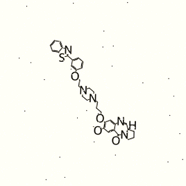 COc1cc2c(cc1OCCCN1CCN(CCOc3cccc(-c4nc5ccccc5s4)c3)CC1)N=C[C@@H]1CCCN1C2=O